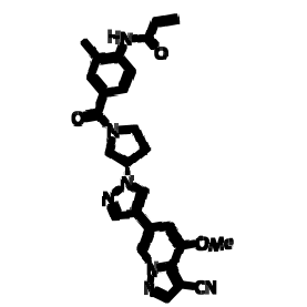 C=CC(=O)Nc1ccc(C(=O)N2CC[C@H](n3cc(-c4cc(OC)c5c(C#N)cnn5c4)cn3)C2)cc1C